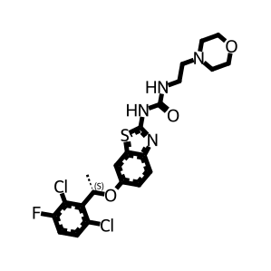 C[C@H](Oc1ccc2nc(NC(=O)NCCN3CCOCC3)sc2c1)c1c(Cl)ccc(F)c1Cl